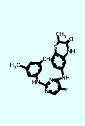 Cc1cc(C)cc(Nc2ncc(F)c(Nc3ccc4c(c3)NC(=O)C(C)S4)n2)c1